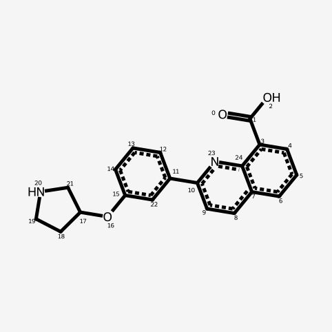 O=C(O)c1cccc2ccc(-c3cccc(OC4CCNC4)c3)nc12